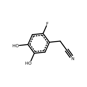 N#CCc1cc(O)c(O)cc1F